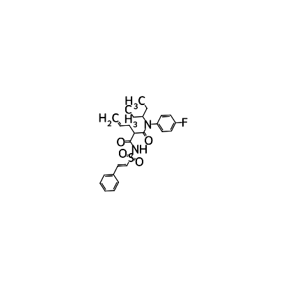 C=CCC(C(=O)NS(=O)(=O)C=Cc1ccccc1)C(=O)N(c1ccc(F)cc1)C(CC)CC